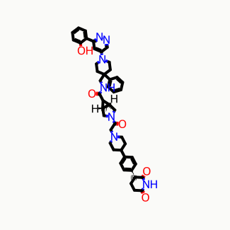 O=C1CC[C@H](c2ccc(C3CCN(CC(=O)N4C[C@@H]5C(C(=O)NCC6(c7ccccc7)CCN(c7cnnc(-c8ccccc8O)c7)CC6)[C@@H]5C4)CC3)cc2)C(=O)N1